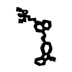 CCOP(=O)(CCC[n+]1ccc(C=Cc2ccc3c(c2)c2ccccc2n3CC)c2ccccc21)OCC